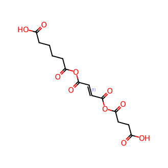 O=C(O)CCCCC(=O)OC(=O)/C=C/C(=O)OC(=O)CCC(=O)O